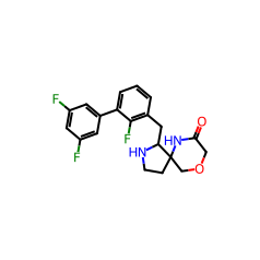 O=C1COCC2(CCNC2Cc2cccc(-c3cc(F)cc(F)c3)c2F)N1